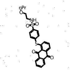 CCCOCCNS(=O)(=O)c1ccc(Sc2cccc3c2C(=O)c2ccccc2C3=O)cc1